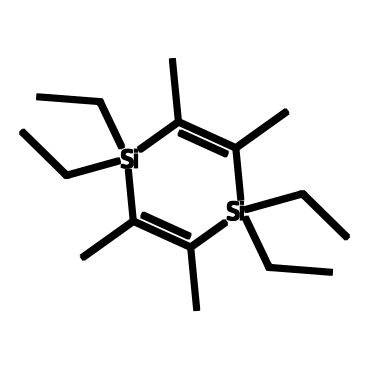 CC[Si]1(CC)C(C)=C(C)[Si](CC)(CC)C(C)=C1C